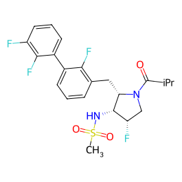 CC(C)C(=O)N1C[C@H](F)[C@H](NS(C)(=O)=O)[C@@H]1Cc1cccc(-c2cccc(F)c2F)c1F